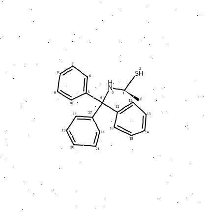 C[C@H](S)NC(c1ccccc1)(c1ccccc1)c1ccccc1